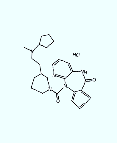 CN(CCC1CCCN(C(=O)N2c3ccccc3C(=O)Nc3cccnc32)C1)C1CCCC1.Cl